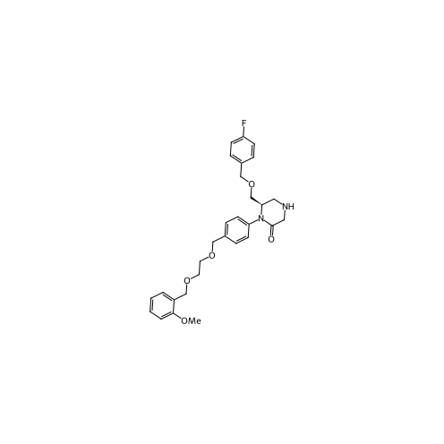 COc1ccccc1COCCOCc1ccc(N2C(=O)CNC[C@@H]2COCc2ccc(F)cc2)cc1